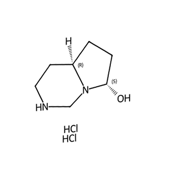 Cl.Cl.O[C@H]1CC[C@@H]2CCNCN21